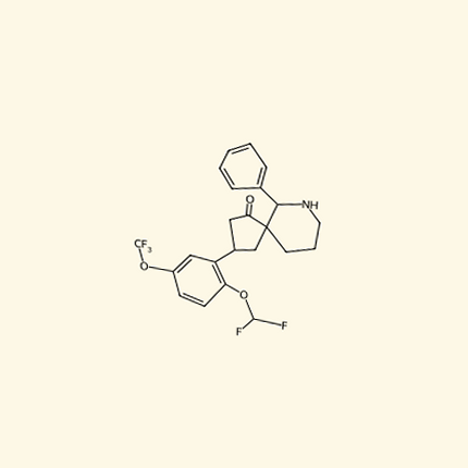 O=C1CC(c2cc(OC(F)(F)F)ccc2OC(F)F)CC12CCCNC2c1ccccc1